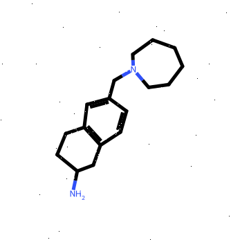 NC1CCc2cc(CN3CCCCCC3)ccc2C1